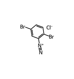 N#[N+]c1cc(Br)ccc1Br.[Cl-]